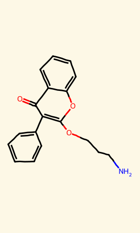 NCCCOc1oc2ccccc2c(=O)c1-c1ccccc1